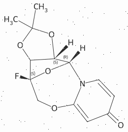 CC1(C)OC2[C@H](O1)[C@H]1O[C@]2(F)COc2cc(=O)ccn21